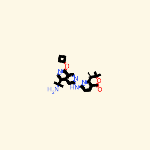 C[C@@H]1c2nc(Nc3cc4c(C(C)(C)N)cnc(OC5CCC5)c4cn3)ccc2C(=O)OC1(C)C